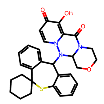 O=C1c2c(O)c(=O)ccn2N(C2c3ccccc3SC3(CCCCC3)c3ccccc32)C2COCCN12